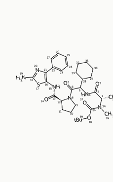 C[C@@H](C(=O)NC(C(=O)N1CCC[C@H]1C(=O)Nc1sc(N)nc1-c1ccccc1)C1CCCCC1)N(C)C(=O)OC(C)(C)C